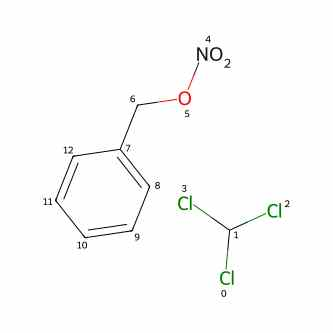 ClC(Cl)Cl.O=[N+]([O-])OCc1ccccc1